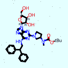 CN(C(=O)OC(C)(C)C)C1CCN(c2nc(NCC(c3ccccc3)c3ccccc3)c3ncn([C@@H]4O[C@H](CO)[C@@H](O)[C@H]4O)c3n2)C1